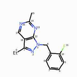 CCc1nn(Cc2ccccc2F)c2nc(C)ncc12